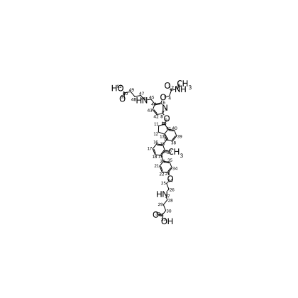 CNC(=O)COc1nc(O[C@H]2CCc3c(-c4cccc(-c5ccc(OCCNCCCC(=O)O)cc5)c4C)cccc32)ccc1CNCCCC(=O)O